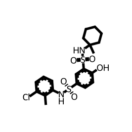 Cc1c(Cl)cccc1NS(=O)(=O)c1ccc(O)c(S(=O)(=O)NC2(C)CCCCC2)c1